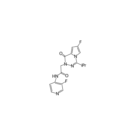 CC(C)c1nn(CC(=O)Nc2ccncc2F)c(=O)c2cc(F)cn12